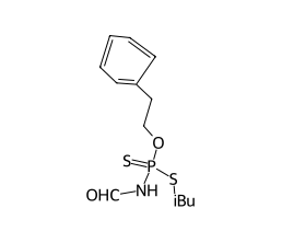 CCC(C)SP(=S)(NC=O)OCCc1ccccc1